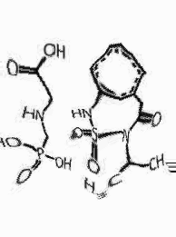 CC(C)N1C(=O)c2ccccc2NS1(=O)=O.O=C(O)CNCP(=O)(O)O